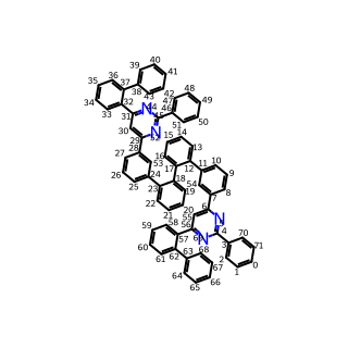 c1ccc(-c2nc(-c3cccc(-c4ccccc4-c4ccccc4-c4cccc(-c5cc(-c6ccccc6-c6ccccc6)nc(-c6ccccc6)n5)c4)c3)cc(-c3ccccc3-c3ccccc3)n2)cc1